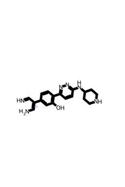 N=C/C(=C\N)c1ccc(-c2ccc(NC3CCNCC3)nn2)c(O)c1